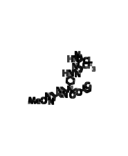 COc1ncc(-c2cnc(N(C(=O)COc3ccccc3)C3CCC(Nc4ncc(C(F)(F)F)c(-c5[nH]ncc5Cl)n4)CC3)cn2)cn1